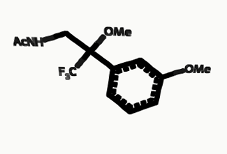 COc1cccc(C(CNC(C)=O)(OC)C(F)(F)F)c1